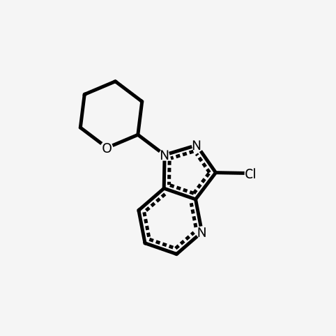 Clc1nn(C2CCCCO2)c2cccnc12